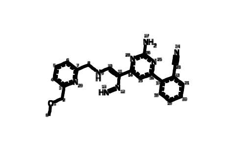 COCc1cccc(CN/C=C(\N=N)c2cc(-c3ccccc3C#N)nc(N)n2)n1